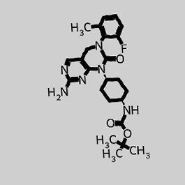 Cc1cccc(F)c1N1Cc2cnc(N)nc2N([C@H]2CC[C@@H](NC(=O)OC(C)(C)C)CC2)C1=O